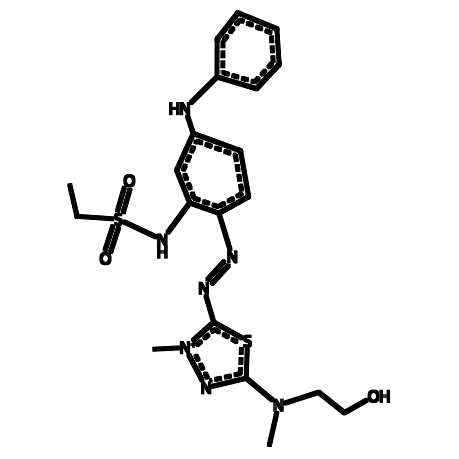 CCS(=O)(=O)Nc1cc(Nc2ccccc2)ccc1N=Nc1sc(N(C)CCO)n[n+]1C